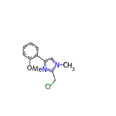 COc1ccccc1-c1cn(C)c(CCl)n1